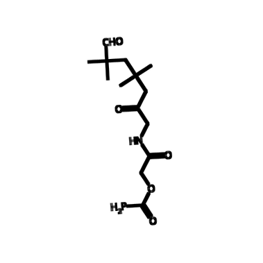 CC(C)(C=O)CC(C)(C)CC(=O)CNC(=O)COC(=O)P